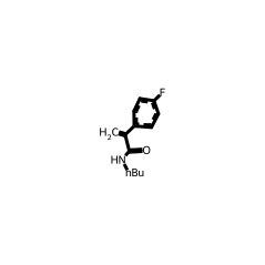 C=C(C(=O)NCCCC)c1ccc(F)cc1